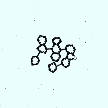 c1ccc(-c2cc(-c3c4ccccc4c(-c4cccc5oc6ccc(-c7ccccc7)cc6c45)c4ccccc34)c3ccccc3c2)cc1